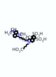 CN(C)c1ccc2c3c(cccc13)C(/C=C/C=C/C=C1/N(CCCCCC(=O)O)c3ccc4c(S(=O)(=O)O)cc(S(=O)(=O)O)cc4c3C1(C)C)=[N+]2C